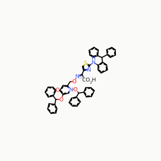 O=C(O)/C(=N\OCc1cc(=O)c(OC(c2ccccc2)c2ccccc2)cn1OC(c1ccccc1)c1ccccc1)c1csc(Nc2ccccc2C(c2ccccc2)c2ccccc2)n1